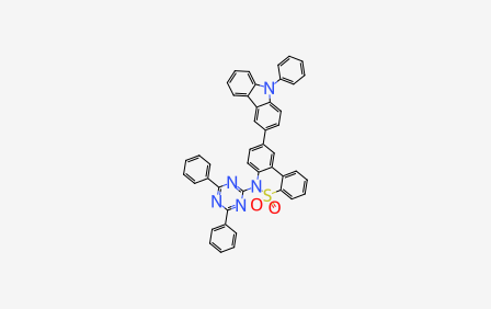 O=S1(=O)c2ccccc2-c2cc(-c3ccc4c(c3)c3ccccc3n4-c3ccccc3)ccc2N1c1nc(-c2ccccc2)nc(-c2ccccc2)n1